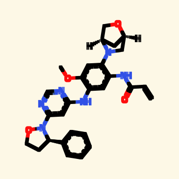 C=CC(=O)Nc1cc(Nc2cc(N3OCC[C@@H]3c3ccccc3)ncn2)c(OC)cc1N1C[C@H]2C[C@@H]1CO2